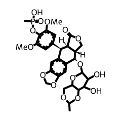 COc1cc([C@@H]2c3cc4c(cc3[C@@H](OC3OC5COC(C)OC5C(O)C3O)[C@H]3COC(=O)[C@H]23)OCO4)cc(OC)c1OP(C)(=O)O